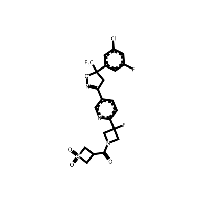 O=C(C1CS(=O)(=O)C1)N1CC(F)(c2ccc(C3=NOC(c4cc(F)cc(Cl)c4)(C(F)(F)F)C3)cn2)C1